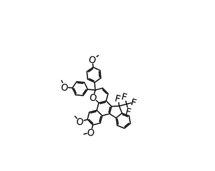 COc1ccc(C2(c3ccc(OC)cc3)C=Cc3c4c(c5cc(OC)c(OC)cc5c3O2)-c2ccccc2C4(F)C(F)(F)F)cc1